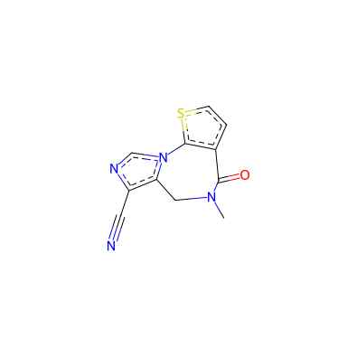 CN1Cc2c(C#N)ncn2-c2sccc2C1=O